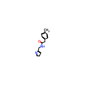 Cc1ccc(CC(=O)NCC2=CCC=N2)cc1